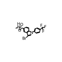 CNS(=O)(=O)c1ccc2c(c1)c(Br)cn2-c1ccc(C(F)(F)F)cc1